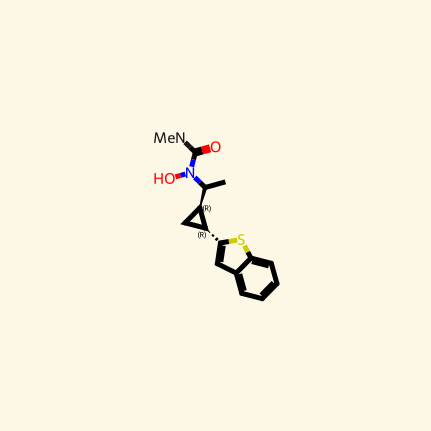 CNC(=O)N(O)C(C)[C@@H]1C[C@H]1c1cc2ccccc2s1